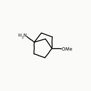 COC12CCC(N)(CC1)C2